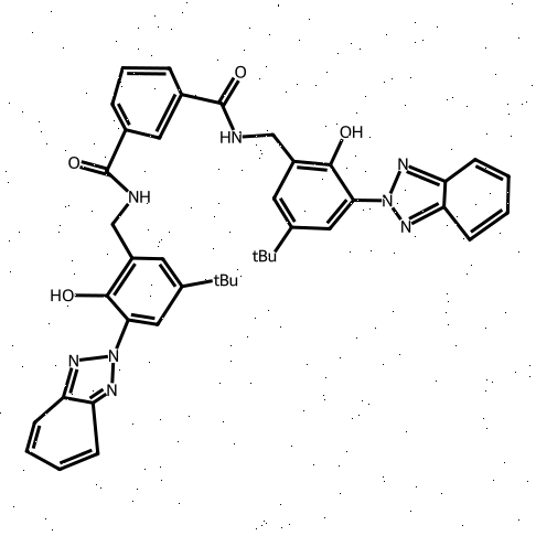 CC(C)(C)c1cc(CNC(=O)c2cccc(C(=O)NCc3cc(C(C)(C)C)cc(-n4nc5ccccc5n4)c3O)c2)c(O)c(-n2nc3ccccc3n2)c1